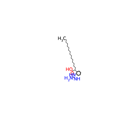 CCCCCCCCCCCCCCCCC(C(=O)O)c1ccccc1NC(=N)N